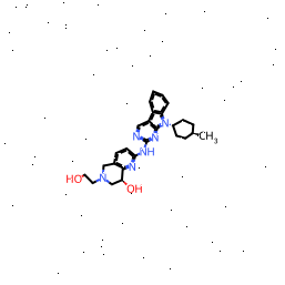 C[C@H]1CC[C@H](n2c3ccccc3c3cnc(Nc4ccc5c(n4)[C@@H](O)CN(CCO)C5)nc32)CC1